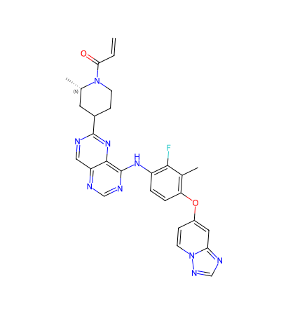 C=CC(=O)N1CCC(c2ncc3ncnc(Nc4ccc(Oc5ccn6ncnc6c5)c(C)c4F)c3n2)C[C@@H]1C